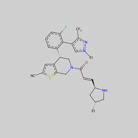 CC[C@H]1CN[C@H](/C=C/C(=O)N2Cc3sc(C#N)cc3[C@H](c3cccc(F)c3-c3cn(CC)nc3C(F)(F)F)C2)C1